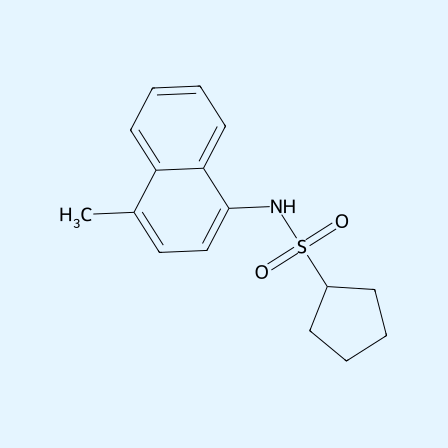 Cc1ccc(NS(=O)(=O)C2CCCC2)c2ccccc12